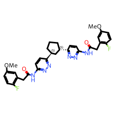 COc1ccc(F)c(CC(=O)Nc2ccc([C@H]3CCC[C@H](c4ccc(NC(=O)Cc5cc(OC)ccc5F)nn4)C3)nn2)c1